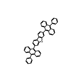 c1ccc(-c2c3ccccc3c(-c3ccc4c(c3)sc3cc(-c5c6ccccc6c(-c6ccccc6)c6ccccc56)ccc34)c3ccccc23)cc1